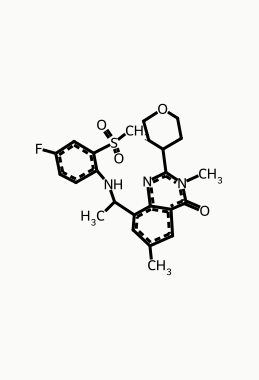 Cc1cc(C(C)Nc2ccc(F)cc2S(C)(=O)=O)c2nc(C3CCOCC3)n(C)c(=O)c2c1